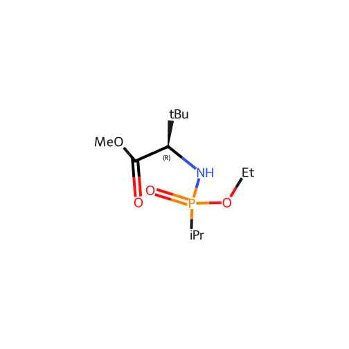 CCOP(=O)(N[C@@H](C(=O)OC)C(C)(C)C)C(C)C